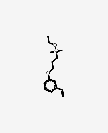 C=Cc1cccc(OCCC[Si](C)(C)OCC)c1